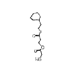 O=C(CO)OCCC(=O)OCCC1CCCCC1